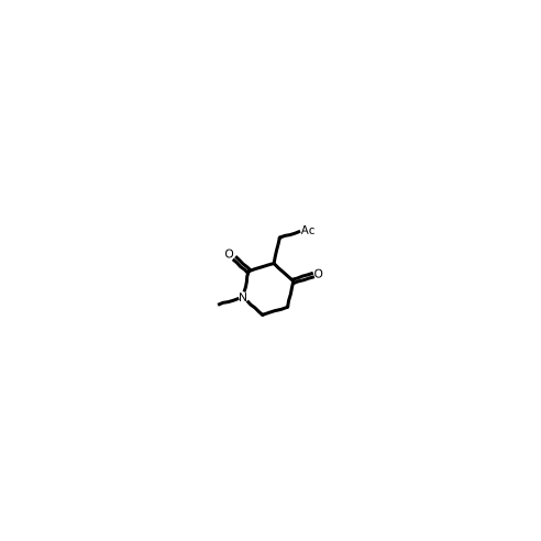 CC(=O)CC1C(=O)CCN(C)C1=O